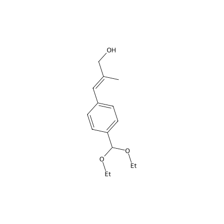 CCOC(OCC)c1ccc(/C=C(\C)CO)cc1